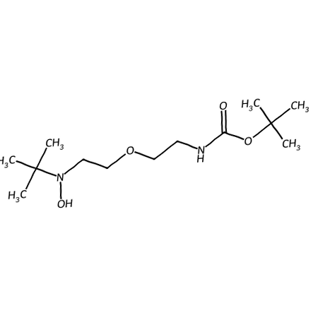 CC(C)(C)OC(=O)NCCOCCN(O)C(C)(C)C